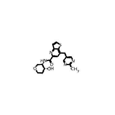 Cc1ncc(Cc2cc(C(=O)N[C@@H]3COCC[C@H]3O)nc3ccsc23)cn1